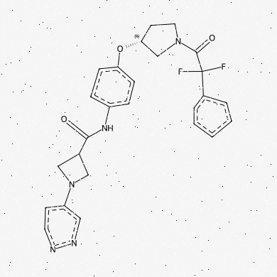 O=C(Nc1ccc(O[C@@H]2CCN(C(=O)C(F)(F)c3ccccc3)C2)cc1)C1CN(c2ccnnc2)C1